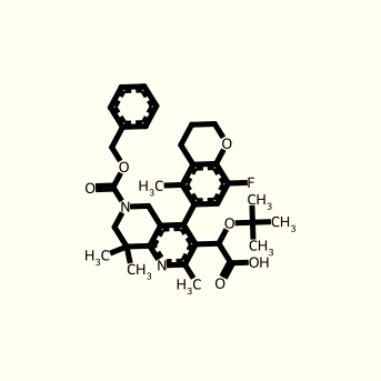 Cc1nc2c(c(-c3cc(F)c4c(c3C)CCCO4)c1C(OC(C)(C)C)C(=O)O)CN(C(=O)OCc1ccccc1)CC2(C)C